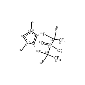 Cn1cc[n+](C)c1.O=P([O-])(C(F)(F)C(F)(F)F)C(F)(F)C(F)(F)F